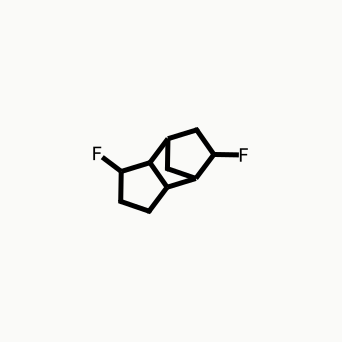 FC1CC2CC1C1CCC(F)C21